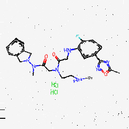 Cc1nc(-c2ccc(F)c(NCC(=O)N(CCNC(C)C)CC(=O)N(C)N3Cc4ccccc4C3)c2)no1.Cl.Cl